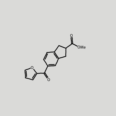 COC(=O)C1Cc2ccc(C(=O)c3ccco3)cc2C1